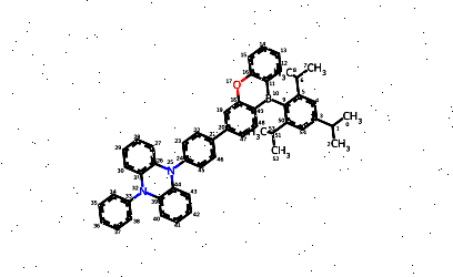 CC(C)c1cc(C(C)C)c(B2c3ccccc3Oc3cc(-c4ccc(N5c6ccccc6N(c6ccccc6)c6ccccc65)cc4)ccc32)c(C(C)C)c1